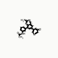 CC(=O)Nc1cccc(-c2cc(-c3cncc(Cl)c3)cc3cnc(N)nc23)c1